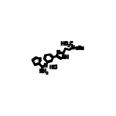 CCCCN(CCc1nc(-c2cccc(/N=C(/N)c3cccs3)c2)c[nH]1)C(=O)O.Cl